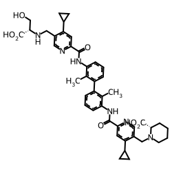 Cc1c(NC(=O)c2cc(C3CC3)c(CN[C@@H](CO)C(=O)O)cn2)cccc1-c1cccc(NC(=O)c2cc(C3CC3)c(CN3CCCC[C@H]3C(=O)O)cn2)c1C